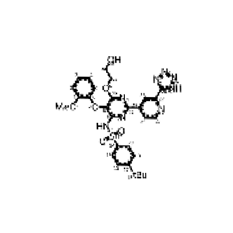 COc1ccccc1Oc1c(NS(=O)(=O)c2ccc(C(C)(C)C)cc2)nc(-c2ccnc(-c3nnn[nH]3)c2)nc1OCCO